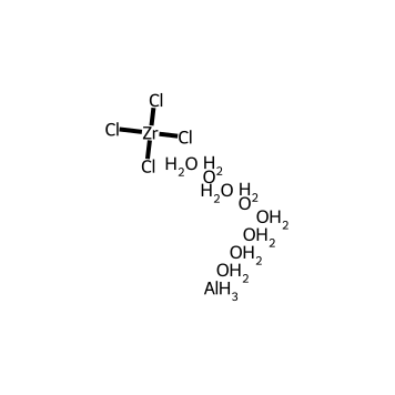 O.O.O.O.O.O.O.O.[AlH3].[Cl][Zr]([Cl])([Cl])[Cl]